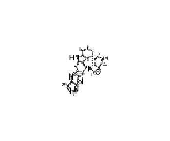 c1ccc2c(c1)[nH]c1ccccc12.c1ccc2ocnc2c1.c1cnc2ncncc2n1